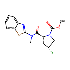 CN(C(=O)[C@@H]1C[C@@H](F)CN1C(=O)OC(C)(C)C)c1nc2ccccc2s1